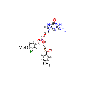 COc1ccc(COP(COCCn2cnc3c(=O)[nH]c(N)nc32)OCCSC(=O)c2ccc(C)cc2)cc1F